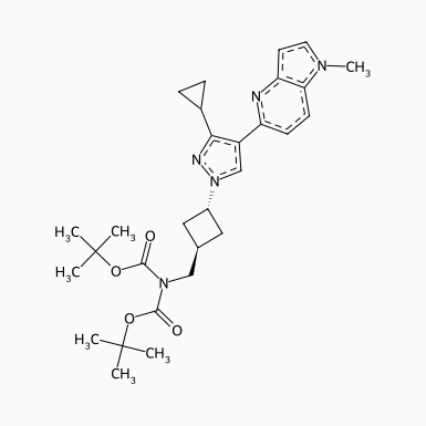 Cn1ccc2nc(-c3cn([C@H]4C[C@H](CN(C(=O)OC(C)(C)C)C(=O)OC(C)(C)C)C4)nc3C3CC3)ccc21